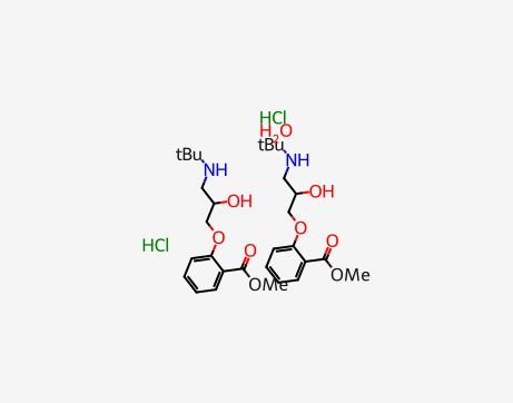 COC(=O)c1ccccc1OCC(O)CNC(C)(C)C.COC(=O)c1ccccc1OCC(O)CNC(C)(C)C.Cl.Cl.O